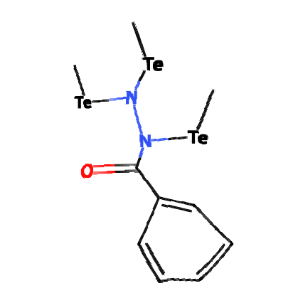 C[Te]N([Te]C)N([Te]C)C(=O)c1ccccc1